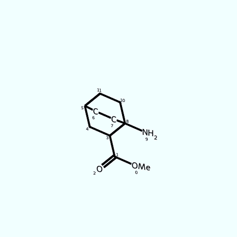 COC(=O)C1CC2CCC1(N)CC2